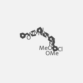 COc1cc(OC)c(-c2cn3ccc(N4CCN(c5nccc(N6CCN(C(=O)Cc7ccccc7)CC6)n5)CC4)cc3n2)cc1Cl